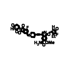 CC[C@@H]1[C@H](F)C(=O)N[C@@H]1COc1ncc(C#CC2CCN(Cc3cc(F)c4c(c3)C(=O)N(C3CCC(=O)NC3=O)C4=O)CC2)c2cc(C(N)=O)c(OC)cc12